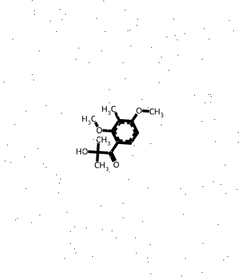 COc1ccc(C(=O)C(C)(C)O)c(OC)c1C